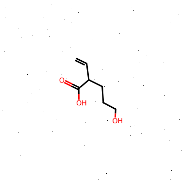 C=CC([CH]CCO)C(=O)O